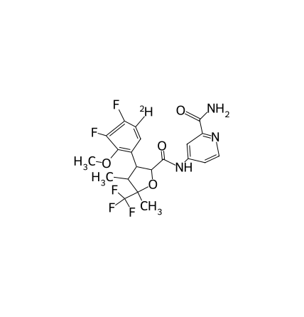 [2H]c1cc(C2C(C(=O)Nc3ccnc(C(N)=O)c3)OC(C)(C(F)(F)F)C2C)c(OC)c(F)c1F